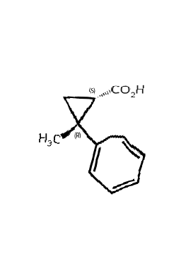 C[C@@]1(c2ccccc2)C[C@@H]1C(=O)O